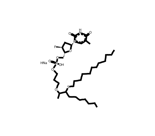 CCCCCCCCCCCCSC(CCCCCCC)C(C)OCCCOP(=O)(O)OC[C@H]1O[C@@H](n2cc(C)c(=O)[nH]c2=O)C[C@@H]1F.[NaH]